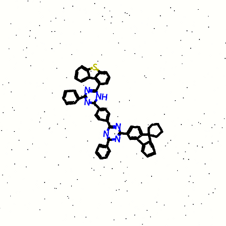 c1ccc(C2=NC(c3ccc(-c4nc(-c5ccccc5)nc(-c5ccc6c(c5)-c5ccccc5C65CCCCC5)n4)cc3)NC(c3cccc4sc5ccccc5c34)=N2)cc1